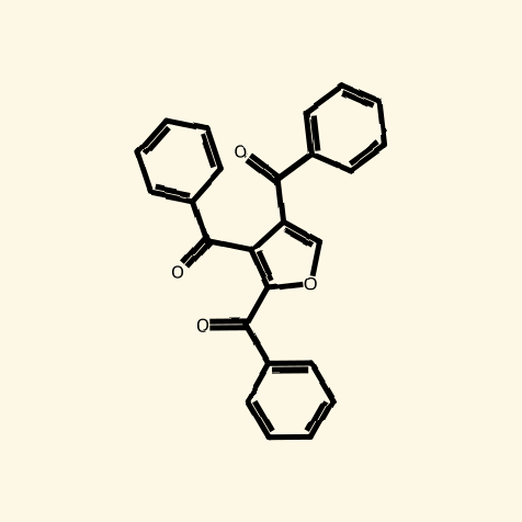 O=C(c1ccccc1)c1coc(C(=O)c2ccccc2)c1C(=O)c1ccccc1